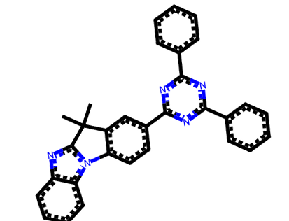 CC1(C)c2cc(-c3nc(-c4ccccc4)nc(-c4ccccc4)n3)ccc2-n2c1nc1ccccc12